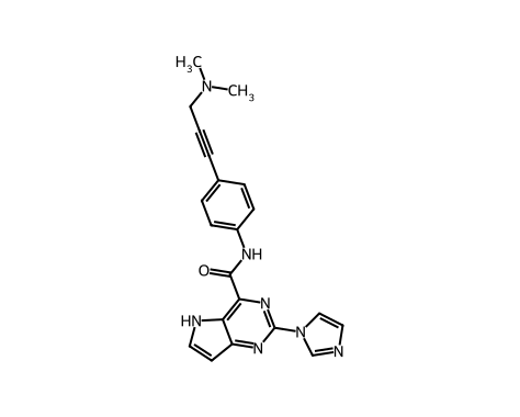 CN(C)CC#Cc1ccc(NC(=O)c2nc(-n3ccnc3)nc3cc[nH]c23)cc1